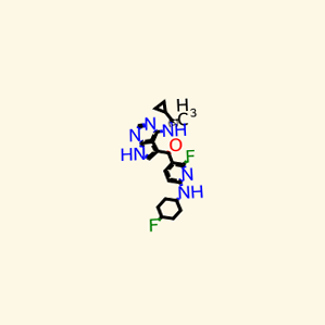 C[C@H](Nc1ncnc2[nH]cc(C(=O)c3ccc(NC4CCC(F)CC4)nc3F)c12)C1CC1